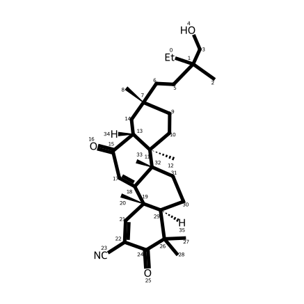 CCC(C)(CO)CC[C@]1(C)CC[C@]2(C)[C@@H](C1)C(=O)C=C1[C@@]3(C)C=C(C#N)C(=O)C(C)(C)[C@@H]3CC[C@]12C